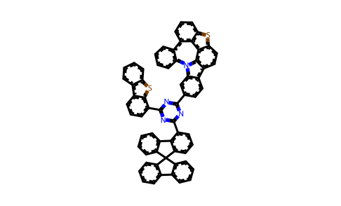 c1ccc2c(c1)-c1ccccc1C21c2ccccc2-c2c(-c3nc(-c4ccc5c6ccc7sc8cccc9c%10ccccc%10n(c5c4)c6c7c89)nc(-c4cccc5c4sc4ccccc45)n3)cccc21